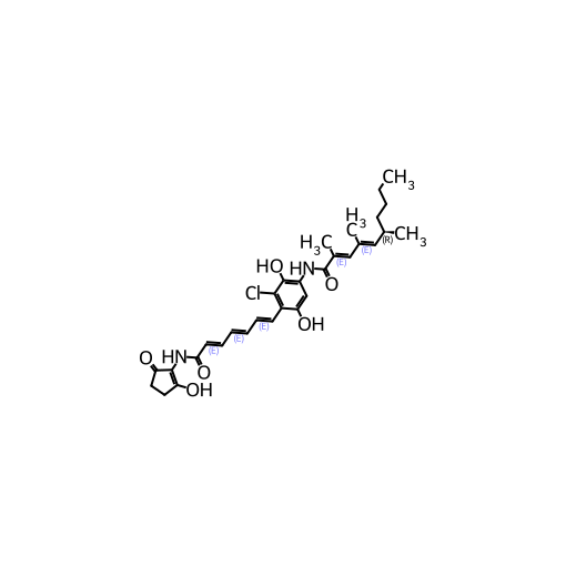 CCCC[C@@H](C)/C=C(C)/C=C(\C)C(=O)Nc1cc(O)c(/C=C/C=C/C=C/C(=O)NC2=C(O)CCC2=O)c(Cl)c1O